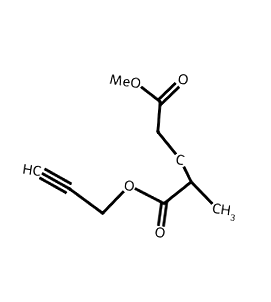 C#CCOC(=O)C(C)CCC(=O)OC